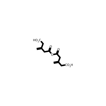 C=C(CC(=O)O)CC(=O)OC(=O)CC(=C)CC(=O)O